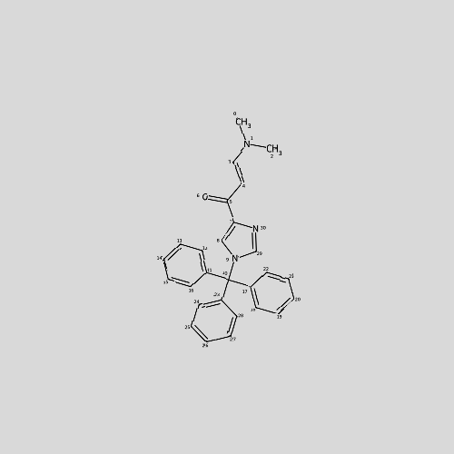 CN(C)C=CC(=O)c1cn(C(c2ccccc2)(c2ccccc2)c2ccccc2)cn1